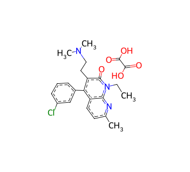 CCn1c(=O)c(CCN(C)C)c(-c2cccc(Cl)c2)c2ccc(C)nc21.O=C(O)C(=O)O